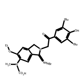 Br.CCOc1cc2c(cc1N(C)C(=O)O)C(=N)N(CC(=O)c1cc(C(C)(C)C)c(O)c(C(C)(C)C)c1)C2